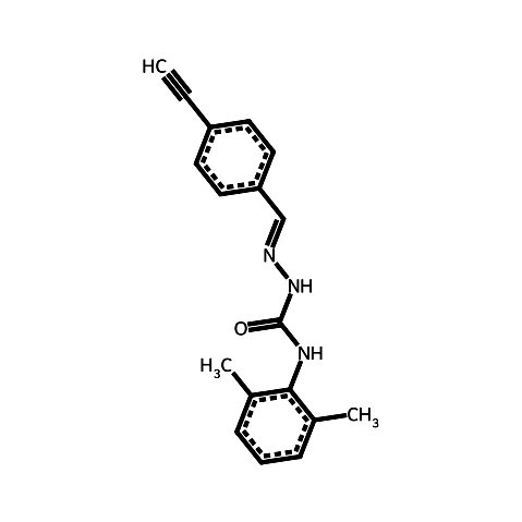 C#Cc1ccc(/C=N/NC(=O)Nc2c(C)cccc2C)cc1